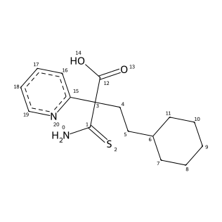 NC(=S)C(CCC1CCCCC1)(C(=O)O)c1ccccn1